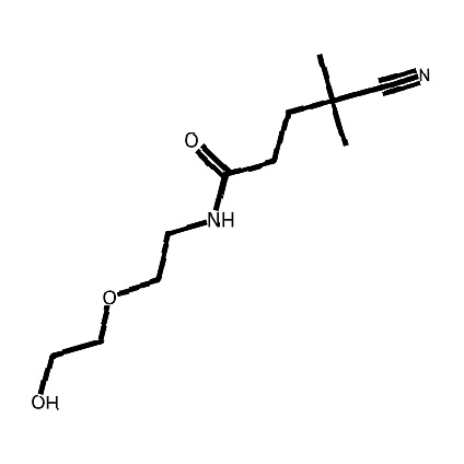 CC(C)(C#N)CCC(=O)NCCOCCO